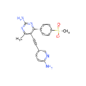 Cc1nc(N)nc(-c2ccc(S(C)(=O)=O)cc2)c1C#Cc1ccc(N)nc1